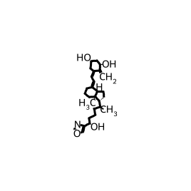 C=C1/C(=C\C=C2/CCC[C@]3(C)[C@@H]([C@@H](C)CCC[C@H](O)c4cocn4)CC[C@@H]23)C[C@@H](O)C[C@@H]1O